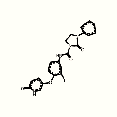 O=C(Nc1ccc(Oc2ccc(=O)[nH]c2)c(F)c1)N1CCN(c2ccccc2)C1=O